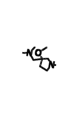 COC1(CN(C)C)CC[N]C1